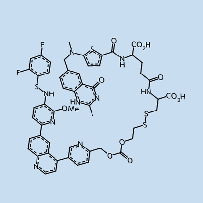 COc1nc(-c2ccc3nccc(-c4ccc(COC(=O)OCCSSCC(NC(=O)CCC(NC(=O)c5ccc(N(C)Cc6ccc7[nH]c(C)nc(=O)c7c6)s5)C(=O)O)C(=O)O)nc4)c3c2)ccc1NSc1ccc(F)cc1F